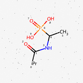 CC(C)C(=O)NC(C)P(=O)(O)O